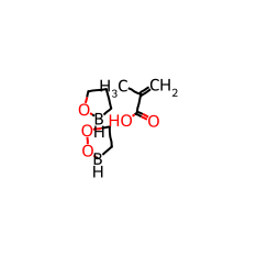 B1CCCO1.B1CCOO1.C=C(C)C(=O)O